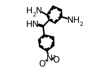 N=C(c1ccc([N+](=O)[O-])cc1)c1cc(N)ccc1N